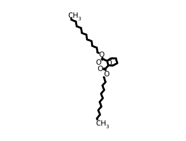 CCCCCCCCCCCCOC(=O)C1C2CCC(O2)C1C(=O)OCCCCCCCCCCCC